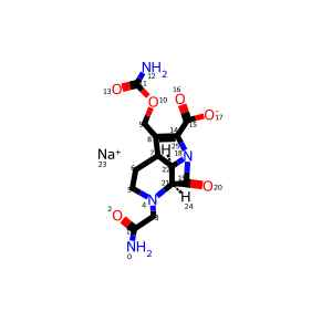 NC(=O)CN1CCC2C(COC(N)=O)=C(C(=O)[O-])N3C(=O)[C@@H]1[C@@H]23.[Na+]